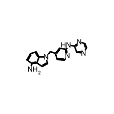 Nc1cccc2c1ccn2Cc1ccnc(Nc2cnccn2)c1